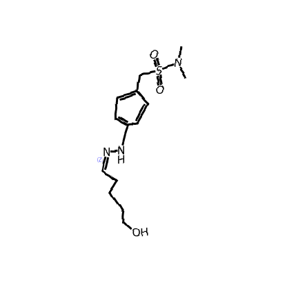 CN(C)S(=O)(=O)Cc1ccc(N/N=C\CCCCO)cc1